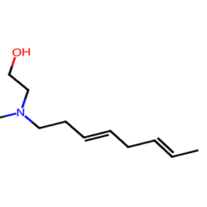 CC=CCC=CCCN(C)CCO